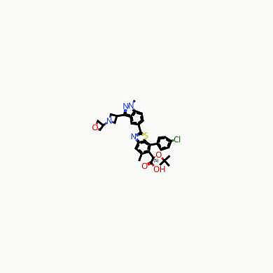 Cc1cc2nc(-c3ccc4c(c3)c(C3CN(C5COC5)C3)nn4C)sc2c(-c2ccc(Cl)cc2)c1[C@H](OC(C)(C)C)C(=O)O